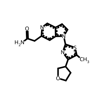 Cc1sc(-n2ccc3cnc(CC(N)=O)cc32)nc1C1CCOC1